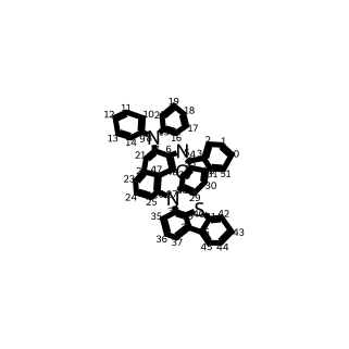 c1ccc(-c2nc3c(N(c4ccccc4)c4ccccc4)cc4cccc(N(c5ccccc5)c5cccc6c5sc5ccccc56)c4c3o2)cc1